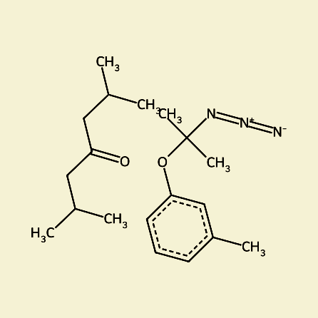 CC(C)CC(=O)CC(C)C.Cc1cccc(OC(C)(C)N=[N+]=[N-])c1